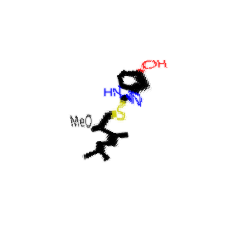 CO/C=C(CSc1nc2cc(O)ccc2[nH]1)/C(C)=C\C=C(C)C